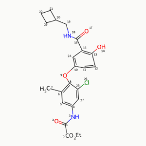 CCOC(=O)C(=O)Nc1cc(C)c(Oc2ccc(O)c(C(=O)NCC3CCC3)c2)c(Cl)c1